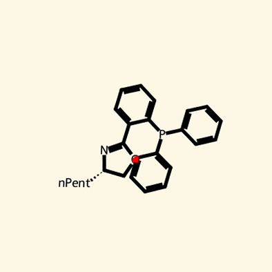 CCCCC[C@H]1COC(c2ccccc2P(c2ccccc2)c2ccccc2)=N1